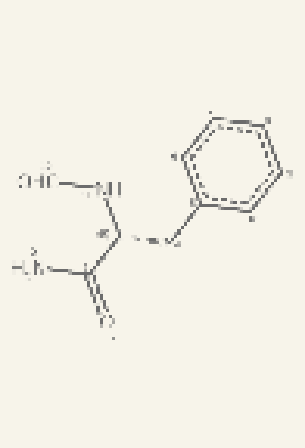 NC(=O)[C@@H](Cc1ccccc1)NC=O